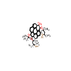 CCCC(C)(C)Oc1c(OC(C)CC(C)(C)S)c2c3c4c(ccc5c4c4c(ccc6ccc1c3c64)C(O)C=5OC(C)(C)CC(C)S)=CC2